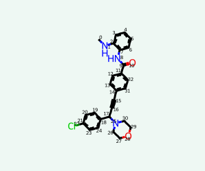 CNc1ccccc1NC(=O)c1ccc(C#CC(c2ccc(Cl)cc2)N2CCOCC2)cc1